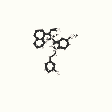 C=CC(c1cccc2ccccc12)S(=O)(=O)c1nn(CCc2cccc(Cl)c2)c2ccc(C(=O)O)cc12